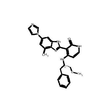 COC[C@H](Cc1ccccc1)Nc1cc[nH]c(=O)c1-c1nc2c(C)cc(-n3ccnc3)cc2[nH]1